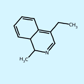 CCC1=C2C=CC=CC2C(C)N=C1